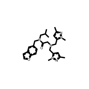 Cc1cc(CN(CC(=O)N(Cc2ccc3occc3c2)CC(C)C)Cc2cc(C)nn2C)n(C)n1